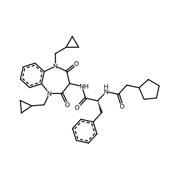 O=C(CC1CCCC1)N[C@@H](Cc1ccccc1)C(=O)NC1C(=O)N(CC2CC2)c2ccccc2N(CC2CC2)C1=O